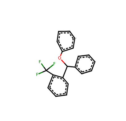 FC(F)(F)c1ccccc1C(Oc1c[c]ccc1)c1ccccc1